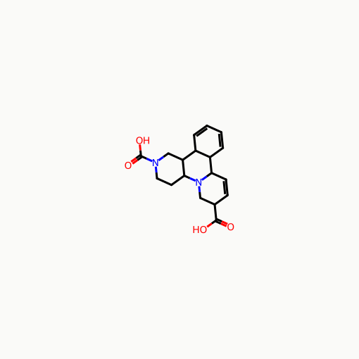 O=C(O)C1C=CC2C3C=CC=CC3C3CN(C(=O)O)CCC3N2C1